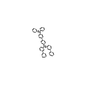 c1ccc(-c2cccc(N(c3ccc(-c4ccc(N(c5ccccc5)c5ccccc5)cc4)cc3)c3cccc(-c4ccccc4)c3)c2)cc1